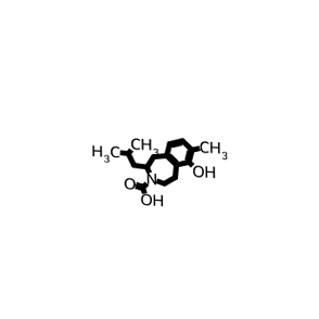 Cc1ccc2c(c1O)CCN(C(=O)O)C(CC(C)C)C2